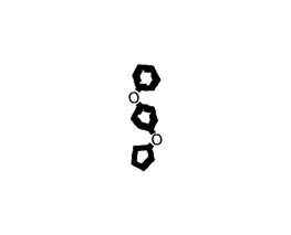 C1=CC(Oc2ccc(Oc3ccccc3)cc2)CC1